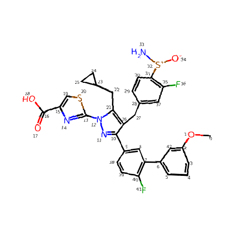 COc1cccc(-c2cc(-c3nn(-c4nc(C(=O)O)cs4)c(CC4CC4)c3Cc3ccc([S+](N)[O-])c(F)c3)ccc2F)c1